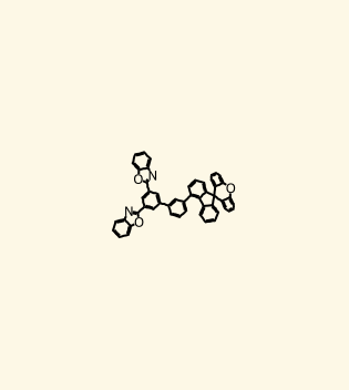 c1cc(-c2cc(-c3nc4ccccc4o3)cc(-c3nc4ccccc4o3)c2)cc(-c2cccc3c2-c2ccccc2C32c3ccccc3Oc3ccccc32)c1